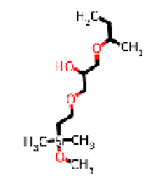 CCC(C)OCC(O)COCC[Si](C)(C)OC